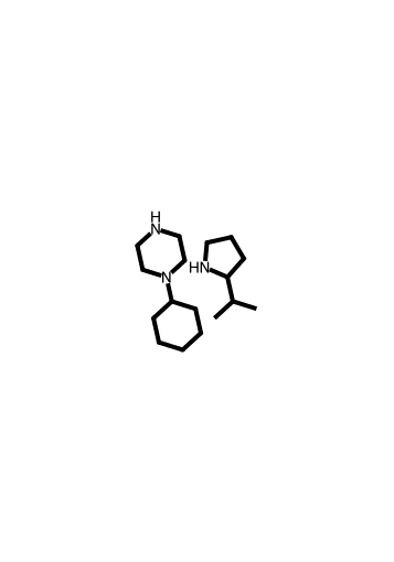 C1CCC(N2CCNCC2)CC1.CC(C)C1CCCN1